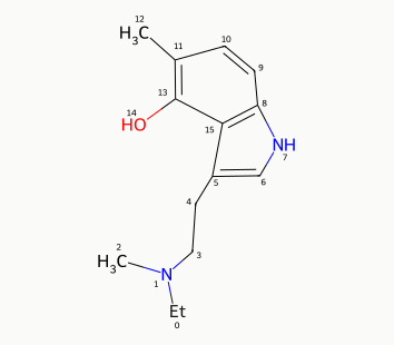 CCN(C)CCc1c[nH]c2ccc(C)c(O)c12